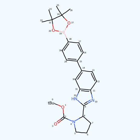 CC(C)(C)OC(=O)N1CCCC1c1nc2ccc(-c3ccc(B4OC(C)(C)C(C)(C)O4)cc3)cc2[nH]1